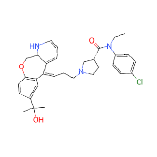 CCN(C(=O)C1CCN(CC/C=C2\C3=CC=CNC3COc3ccc(C(C)(C)O)cc32)C1)c1ccc(Cl)cc1